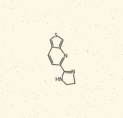 c1cc2cscc2nc1C1=NCCN1